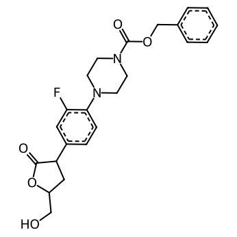 O=C1OC(CO)CC1c1ccc(N2CCN(C(=O)OCc3ccccc3)CC2)c(F)c1